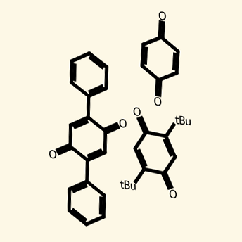 CC(C)(C)C1=CC(=O)C(C(C)(C)C)=CC1=O.O=C1C=C(c2ccccc2)C(=O)C=C1c1ccccc1.O=C1C=CC(=O)C=C1